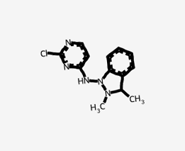 CC1c2ccccc2N(Nc2ccnc(Cl)n2)N1C